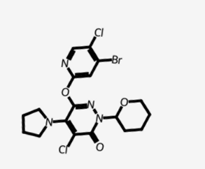 O=c1c(Cl)c(N2CCCC2)c(Oc2cc(Br)c(Cl)cn2)nn1C1CCCCO1